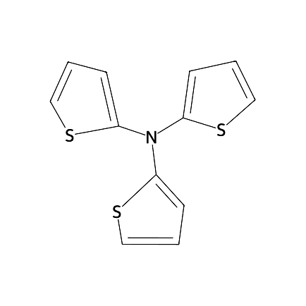 c1csc(N(c2cccs2)c2cccs2)c1